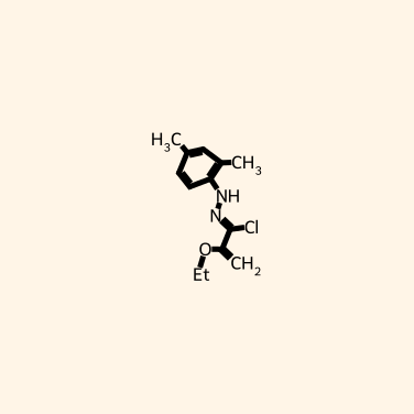 C=C(OCC)/C(Cl)=N/Nc1ccc(C)cc1C